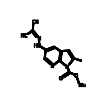 Cc1cc2cc(NN=C(C#N)C#N)cnc2n1C(=O)OC(C)(C)C